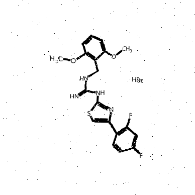 Br.COc1cccc(OC)c1CNC(=N)Nc1nc(-c2ccc(F)cc2F)cs1